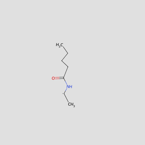 C[CH]NC(=O)CCCC